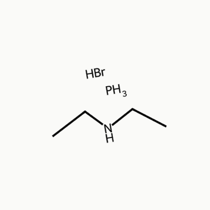 Br.CCNCC.P